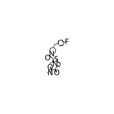 Cc1c(C(=O)N2CCC(Cc3ccc(F)cc3)CC2)sc2ccc(C(=O)C(=O)N(C)C)n12